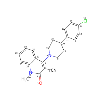 Cn1c(=O)c(C#N)c(N2CCC(c3ccc(Cl)cc3)CC2)c2ccccc21